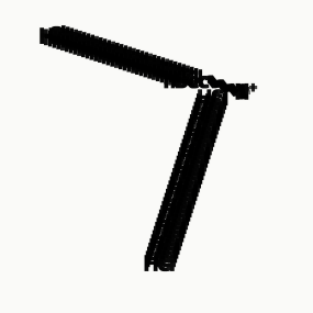 CCCCCCCCCCCCCCCC[N+](C)(C)C.Cl.Cl.Cl.Cl.Cl.Cl.Cl.Cl.Cl.Cl.Cl.Cl.Cl.Cl.Cl.Cl.Cl.Cl.Cl.Cl.Cl.Cl.Cl.Cl.Cl.Cl.Cl.Cl.Cl.Cl.Cl.Cl.Cl.Cl.Cl.Cl.Cl.Cl.Cl.Cl.Cl.Cl.Cl.Cl.Cl.Cl.Cl.Cl.Cl.Cl.Cl.Cl.Cl.Cl.Cl.Cl.Cl.Cl.Cl.Cl.Cl.Cl.Cl.Cl.Cl.Cl.Cl.Cl.Cl.Cl.Cl.Cl.Cl.Cl.[Cl-]